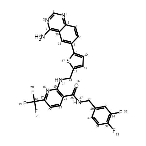 Nc1ncnc2ccc(-c3ccc(CNc4nc(C(F)(F)F)ccc4C(=O)NCc4ccc(F)c(F)c4)s3)cc12